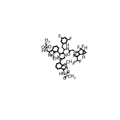 Cn1nc(NS(C)(=O)=O)c2cccc(-c3cnc(C(Cc4cc(F)cc(F)c4)NC(=O)Cn4nc(C(F)F)c5c4C(F)(F)[C@@H]4C[C@H]54)c(-c4cccc5c(NS(C)(=O)=O)nn(C)c45)n3)c21